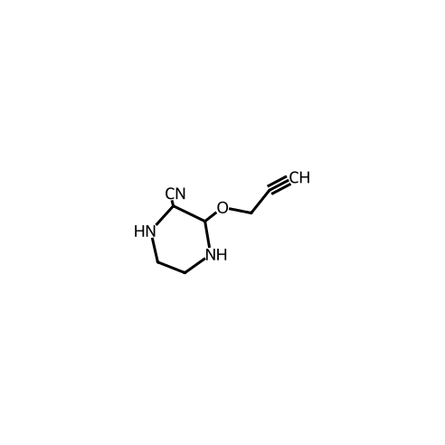 C#CCOC1NCCNC1C#N